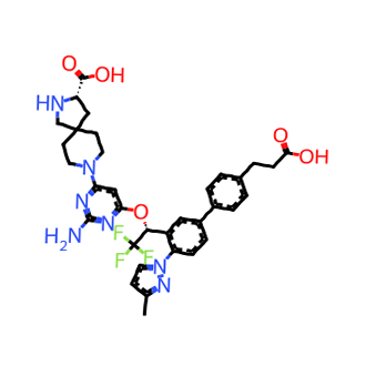 Cc1ccn(-c2ccc(-c3ccc(CCC(=O)O)cc3)cc2[C@@H](Oc2cc(N3CCC4(CC3)CN[C@H](C(=O)O)C4)nc(N)n2)C(F)(F)F)n1